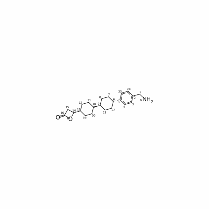 NCc1ccc([C@H]2CC[C@H](C3CCC(C4CC(=O)O4)CC3)CC2)cc1